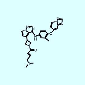 Cc1cc(Nc2ncnn3ccc(C4CN(C(=O)/C=C/CN(C)C)C4)c23)ccc1Oc1ccn2ncnc2c1